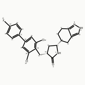 O=C1N[C@@H](C2CCc3n[nH]cc3C2)C[C@H]1Cc1c(Cl)cc(-c2ccc(F)cc2)cc1Cl